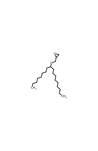 CCCCCCCCCC(CCCCCCCC)OCC1CO1